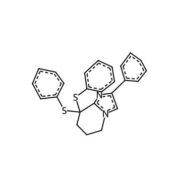 c1ccc(SC2(Sc3ccccc3)CCCn3cc(-c4ccccc4)nc32)cc1